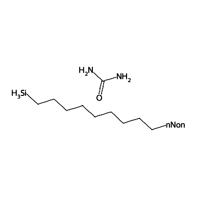 CCCCCCCCCCCCCCCCCC[SiH3].NC(N)=O